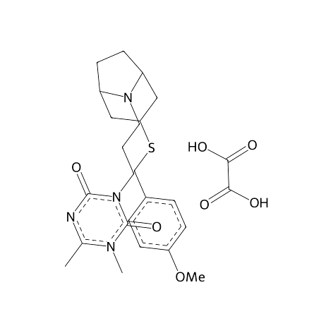 COc1ccc(CSC2CC3CCC(C2)N3CCCn2c(=O)nc(C)n(C)c2=O)cc1.O=C(O)C(=O)O